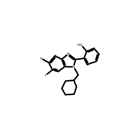 Oc1ccccc1-c1nc2cc(F)c(F)cc2n1CC1CCCCC1